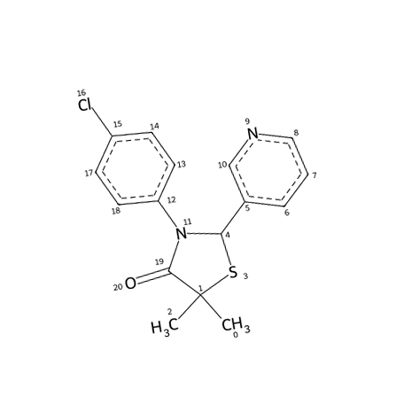 CC1(C)SC(c2cccnc2)N(c2ccc(Cl)cc2)C1=O